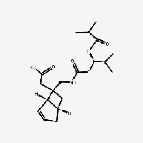 CC(C)C(=O)O[C@H](OC(=O)NC[C@@]1(CC(=O)O)C[C@@H]2CC=C[C@@H]21)C(C)C